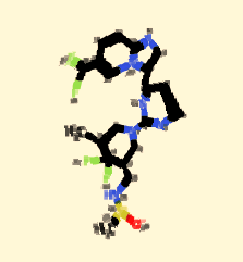 C[C@H]1CN(c2nccc(-c3cnc4ccc(C(F)F)cn34)n2)C[C@@H](CN[S+](C)[O-])C1(F)F